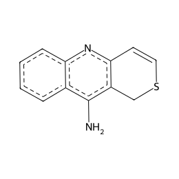 Nc1c2c(nc3ccccc13)C=CSC2